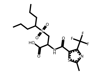 CCCC(CCC)S(=O)(=O)CC(NC(=O)c1sc(C)nc1C(F)(F)F)C(=O)O